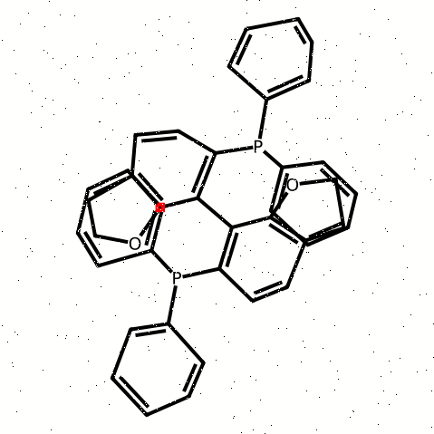 c1ccc(P(c2ccccc2)c2ccc3c(c2-c2c(P(c4ccccc4)c4ccccc4)ccc4c2OCC4)OCC3)cc1